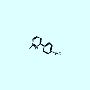 CC(=O)c1ccc(-c2cccc(C)n2)cc1